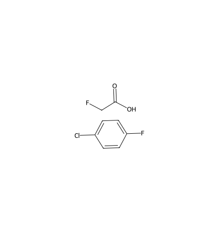 Fc1ccc(Cl)cc1.O=C(O)CF